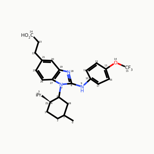 CC1CC[C@@H](C(C)C)C(n2c(Nc3ccc(OC(F)(F)F)cc3)nc3cc(CCC(=O)O)ccc32)C1